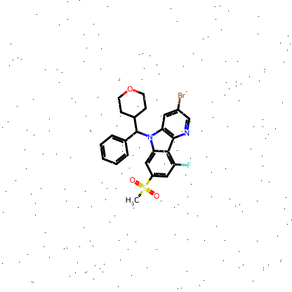 CS(=O)(=O)c1cc(F)c2c3ncc(Br)cc3n(C(c3ccccc3)C3CCOCC3)c2c1